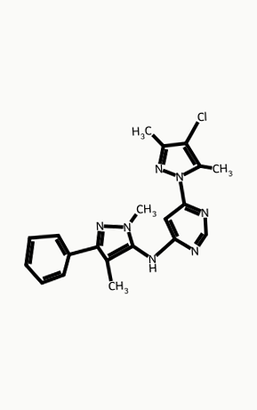 Cc1nn(-c2cc(Nc3c(C)c(-c4ccccc4)nn3C)ncn2)c(C)c1Cl